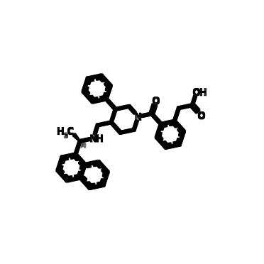 C[C@@H](NCC1CCN(C(=O)c2ccccc2CC(=O)O)CC1c1ccccc1)c1cccc2ccccc12